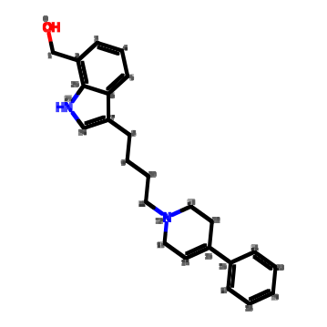 OCc1cccc2c(CCCCN3CC=C(c4ccccc4)CC3)c[nH]c12